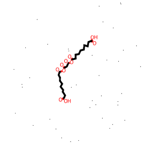 O=C(O)CCCCCCCCC(=O)OC(=O)CC(=O)OC(=O)CCCCCCCCC(=O)O